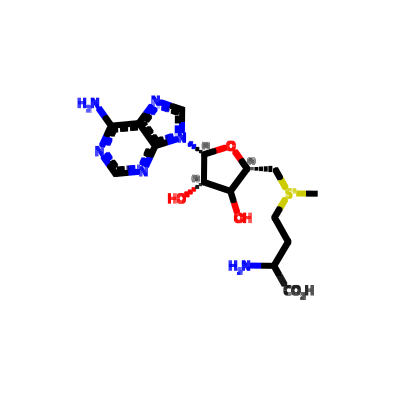 C[S+](CCC(N)C(=O)O)C[C@H]1O[C@@H](n2cnc3c(N)ncnc32)[C@@H](O)C1O